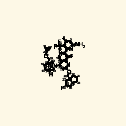 Cc1cc(N)nc(-c2ncc3c(N4C[C@@H]5CC[C@](COC6CC6)(C4)N5)nc(OC[C@@]45CCCN4C[C@H](F)C5)nc3c2F)c1C(F)(F)F